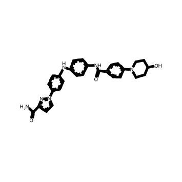 NC(=O)c1ccn(-c2ccc(Nc3ccc(NC(=O)c4ccc(N5CCC(O)CC5)cc4)cc3)cc2)n1